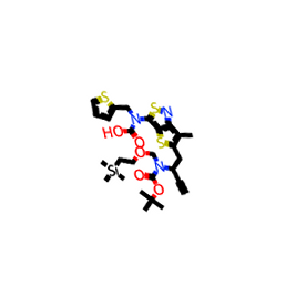 C#CC(Cc1sc2c(N(Cc3cccs3)C(=O)O)snc2c1C)N(COCC[Si](C)(C)C)C(=O)OC(C)(C)C